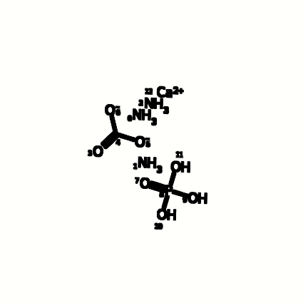 N.N.N.O=C([O-])[O-].O=P(O)(O)O.[Ca+2]